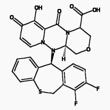 O=C(O)C1COC[C@@H]2N1C(=O)c1c(O)c(=O)ccn1N2[C@@H]1c2ccccc2SCc2c1ccc(F)c2F